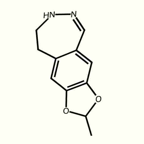 CC1Oc2cc3c(cc2O1)CCNN=C3